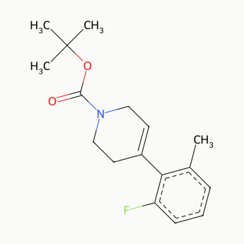 Cc1cccc(F)c1C1=CCN(C(=O)OC(C)(C)C)CC1